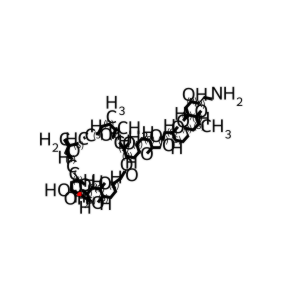 C=C1C[C@@H]2CC[C@]34CC(O)(O)C(O3)[C@@H]3O[C@H]5CC[C@H](CC(=O)O[C@@H]6CC7OC8C[C@]9(C[C@@H]%10O[C@@]%11(CC[C@@H]%10O9)C[C@H](C)[C@@H]9O[C@H](CCN)[C@H](O)C[C@@H]9O%11)O[C@@H]8C[C@@H]7O[C@H]6C[C@H]6O[C@@H](CC[C@@H]1O2)C[C@@H](C)C6=C)O[C@@H]5[C@H](O4)[C@@H]3I